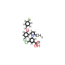 Cc1ccc(-c2cc(Cl)ccc2OCc2ccc(F)cc2)n1-c1cc(Cl)cc(C(=O)O)c1